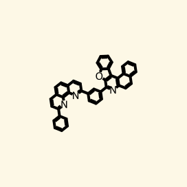 c1ccc(-c2ccc3ccc4ccc(-c5cccc(-c6nc7ccc8ccccc8c7c7c6oc6ccccc67)c5)nc4c3n2)cc1